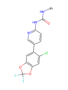 CC(C)NC(=O)Nc1ccc(-c2cc3c(cc2Cl)OC(F)(F)O3)cn1